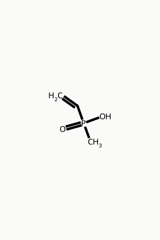 C=CP(C)(=O)O